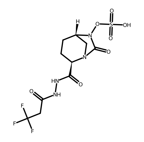 O=C(CC(F)(F)F)NNC(=O)[C@H]1CC[C@H]2CN1C(=O)N2OS(=O)(=O)O